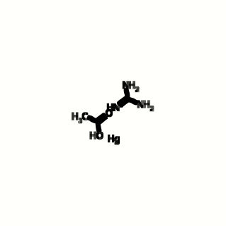 CC(=O)O.N=C(N)N.[Hg]